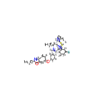 Cc1nc2ccc(Oc3cccc(CN4CC[C@@]5(C[C@@H]4C)CN(C)SN5c4cccc(F)c4)c3)cc2o1